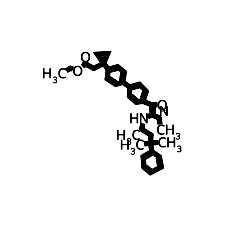 CCOC(=O)CC1(c2ccc(-c3ccc(-c4onc(C)c4NC(C)CC(C)(C)c4ccccc4)cc3)cc2)CC1